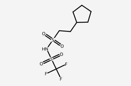 O=S(=O)(CCC1CCCC1)NS(=O)(=O)C(F)(F)F